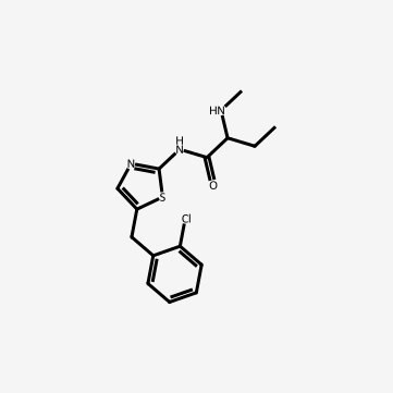 CCC(NC)C(=O)Nc1ncc(Cc2ccccc2Cl)s1